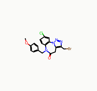 COc1ccc(CN2C(=O)Cc3c(CBr)nnn3-c3cc(Cl)ccc32)cc1